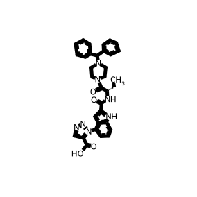 CC[C@H](NC(=O)c1cc2c(-n3nncc3C(=O)O)cccc2[nH]1)C(=O)N1CCN(C(c2ccccc2)c2ccccc2)CC1